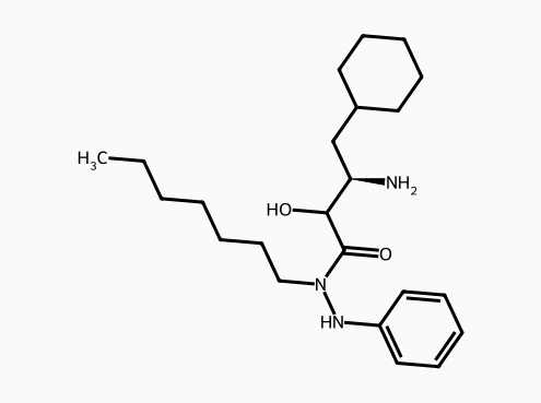 CCCCCCCN(Nc1ccccc1)C(=O)C(O)[C@H](N)CC1CCCCC1